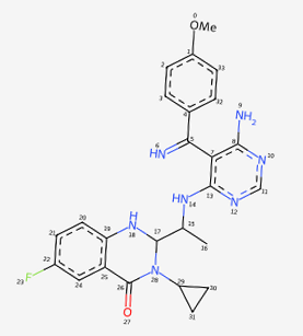 COc1ccc(C(=N)c2c(N)ncnc2NC(C)C2Nc3ccc(F)cc3C(=O)N2C2CC2)cc1